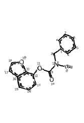 CC(C)(C)N(Cc1ccccc1)C(=O)Oc1cccc2ccoc12